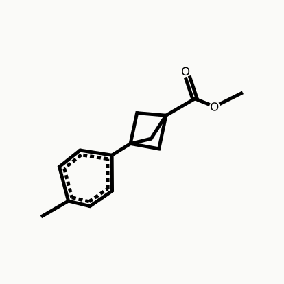 COC(=O)C12CC(c3ccc(C)cc3)(C1)C2